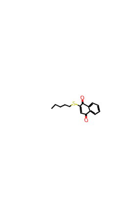 CCCCCSC1=CC(=O)c2ccccc2C1=O